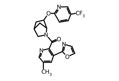 Cc1cnc(C(=O)N2CC3CC(Oc4ccc(C(F)(F)F)cn4)C2C3)c(-c2ncco2)c1